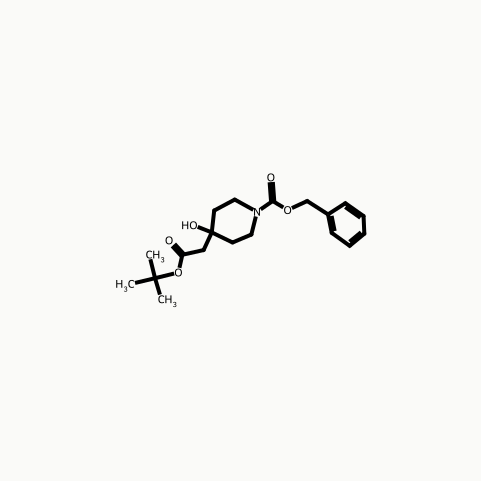 CC(C)(C)OC(=O)CC1(O)CCN(C(=O)OCc2ccccc2)CC1